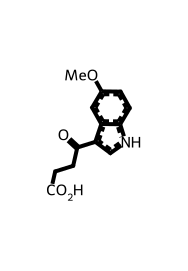 COc1ccc2[nH]cc(C(=O)CCC(=O)O)c2c1